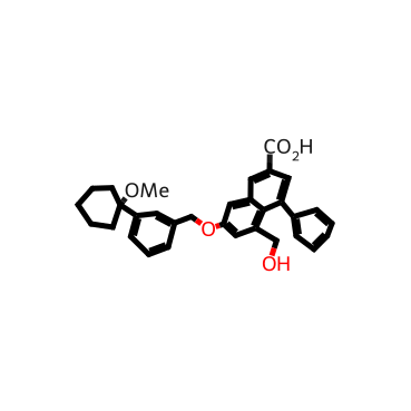 COC1(c2cccc(COc3cc(CO)c4c(-c5ccccc5)cc(C(=O)O)cc4c3)c2)CCCCC1